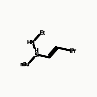 CCCC[SiH](C=CC(C)C)NCC